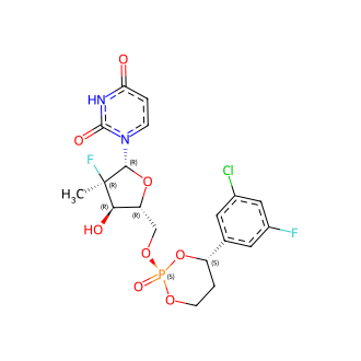 C[C@@]1(F)[C@H](O)[C@@H](CO[P@]2(=O)OCC[C@@H](c3cc(F)cc(Cl)c3)O2)O[C@H]1n1ccc(=O)[nH]c1=O